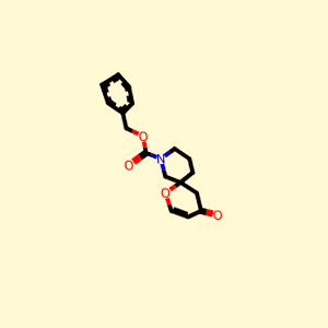 O=C1C=COC2(CCCN(C(=O)OCc3ccccc3)C2)C1